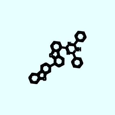 c1ccc(C2=NC(c3cccc4oc5c(-c6ccc7c(c6)oc6ccccc67)cccc5c34)=NC(c3ccccc3)N2)cc1